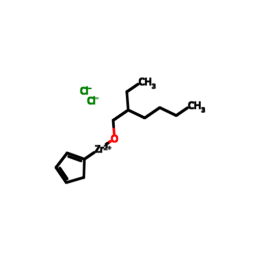 CCCCC(CC)C[O][Zr+2][C]1=CC=CC1.[Cl-].[Cl-]